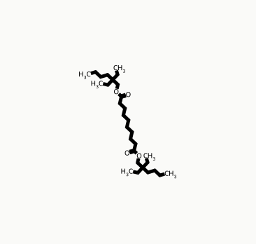 CCCCC(CC)(CC)COC(=O)CCCCCCCCC(=O)OCC(CC)(CC)CCCC